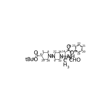 CC(C)(C)OC(=O)C1CCN(N2CCN(C(C)(CC(=O)Oc3ccccc3)NC=O)CC2)CC1